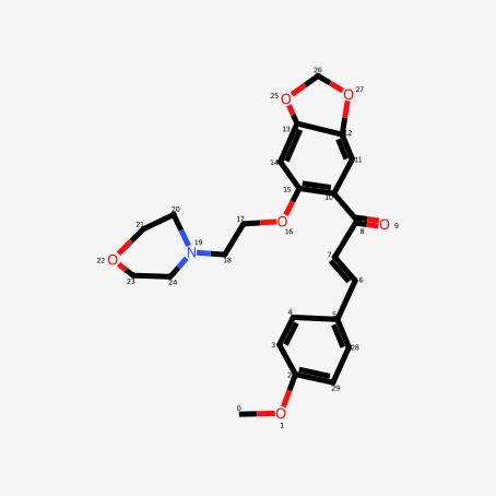 COc1ccc(/C=C/C(=O)c2cc3c(cc2OCCN2CCOCC2)OCO3)cc1